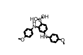 COc1ccc(Nc2ccc(B(O)O)c(Nc3ccc(OC)cc3)c2)cc1